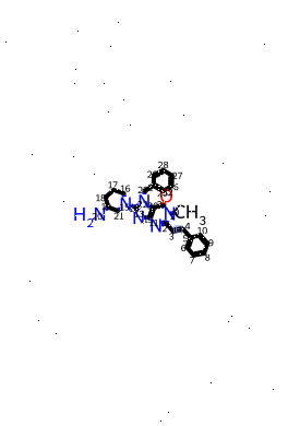 Cn1c(/C=C/c2ccccc2)nc2nc(N3CCCC(N)C3)n(Cc3ccccc3)c2c1=O